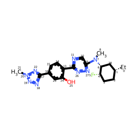 CC[C@@H]1CC[C@H](F)[C@H](N(C)c2cnc(-c3ccc(-c4nnn(C)n4)cc3O)nn2)C1